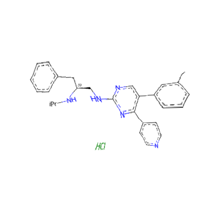 Cc1cccc(-c2cnc(NC[C@H](Cc3ccccc3)NC(C)C)nc2-c2ccncc2)c1.Cl